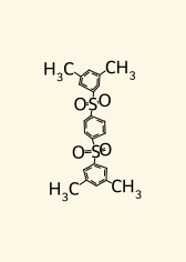 Cc1cc(C)cc(S(=O)(=O)c2ccc(S(=O)(=O)c3cc(C)cc(C)c3)cc2)c1